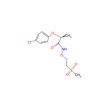 C[C@H](Oc1ccc(Cl)cc1)C(=O)NOCCS(C)(=O)=O